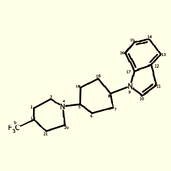 FC(F)(F)C1CCN(C2CCC(n3ccc4ccccc43)CC2)CC1